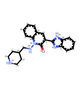 O=c1c(-c2nc3ccccc3[nH]2)cc2ccccc2n1NCC1CCNCC1